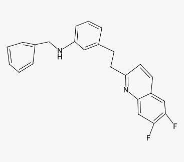 Fc1cc2ccc(CCc3cccc(NCc4ccccc4)c3)nc2cc1F